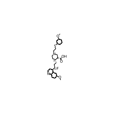 COc1cccc(SCCN2CC[C@@H](CC[C@H](F)c3ccnc4ccc(OC)cc34)[C@@H](C(=O)O)C2)c1